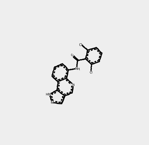 O=C(Nc1cccc2c1ncc1cn[nH]c12)c1c(Cl)cccc1Cl